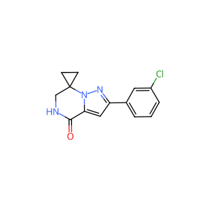 O=C1NCC2(CC2)n2nc(-c3cccc(Cl)c3)cc21